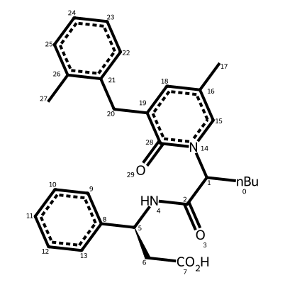 CCCCC(C(=O)N[C@@H](CC(=O)O)c1ccccc1)n1cc(C)cc(Cc2ccccc2C)c1=O